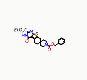 CCOC(=O)c1nc2sc3c(c2c(=O)[nH]1)CCC1(CCN(C(=O)OCc2ccccc2)CC1)C3